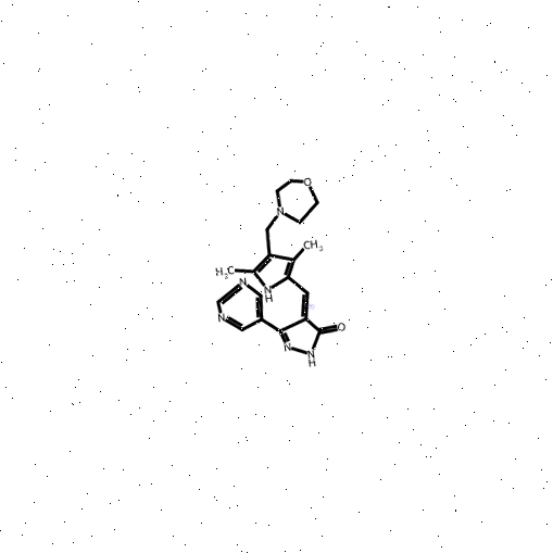 Cc1[nH]c(/C=C2/C(=O)NN=C2c2cncnc2)c(C)c1CN1CCOCC1